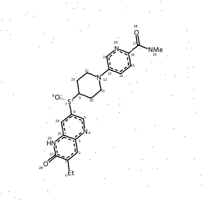 CCc1cc2ncc([S@+]([O-])C3CCN(c4ccc(C(=O)NC)nc4)CC3)cc2[nH]c1=O